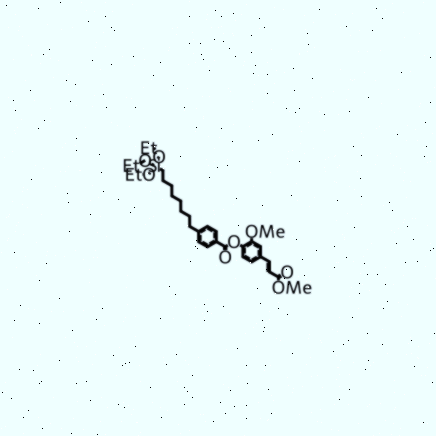 CCO[Si](CCCCCCCCc1ccc(C(=O)Oc2ccc(C=CC(=O)OC)cc2OC)cc1)(OCC)OCC